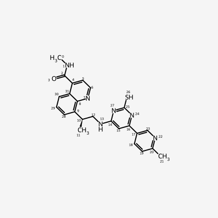 CNC(=O)c1ccnc2c([C@H](C)CNc3cc(-c4ccc(C)nc4)nc(S)n3)cccc12